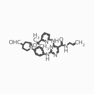 C=CCNC(=O)c1cnc(Nc2ccc(N3CCC(C=O)CC3)cc2)nc1Nc1cccc(C(C)(C)O)n1